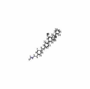 C/C=C/CCc1ccc(CCc2ccc(-c3cc(F)c(C[C@H](C)c4ccccc4)c(F)c3)cc2)cc1